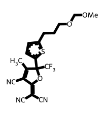 COCOCCCc1ccc(C2(C(F)(F)F)OC(=C(C#N)C#N)C(C#N)=C2C)s1